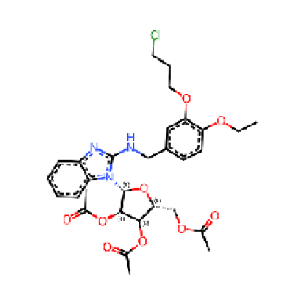 CCOc1ccc(CNc2nc3ccccc3n2[C@@H]2O[C@H](COC(C)=O)[C@@H](OC(C)=O)[C@H]2OC(C)=O)cc1OCCCCl